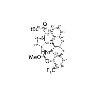 COC(=O)NC(C(=O)C(C)Cc1cccc(C(C(=O)C(C)(C)C)N2CCCC2)c1)c1cccc(C(F)(F)F)c1